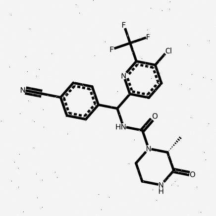 C[C@@H]1C(=O)NCCN1C(=O)NC(c1ccc(C#N)cc1)c1ccc(Cl)c(C(F)(F)F)n1